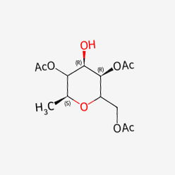 CC(=O)OCC1O[C@@H](C)C(OC(C)=O)[C@@H](O)[C@H]1OC(C)=O